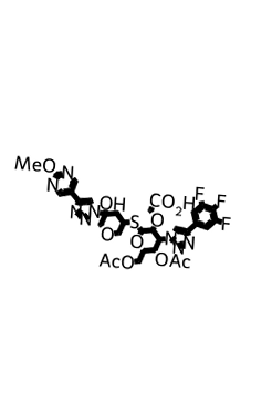 COc1ncc(-c2cn(C3(O)COCC(SC4OC(COC(C)=O)C(OC(C)=O)C(n5cc(-c6cc(F)c(F)c(F)c6)nn5)C4OCC(=O)O)C3)nn2)cn1